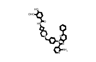 Nc1ncccc1-c1nc2ccc(-c3ccccc3)nc2n1-c1ccc(CN2CCC3(CC2)CC(NC(=O)c2ccc(O)c(C=O)c2)C3)cc1